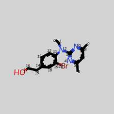 CCN(c1nc(C)cc(C)n1)c1ccc(CCO)cc1Br